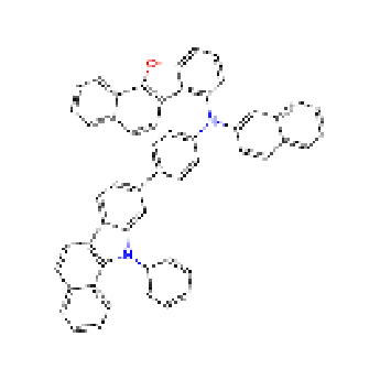 c1ccc(-n2c3cc(-c4ccc(N(c5ccc6ccccc6c5)c5cccc6oc7c8ccccc8ccc7c56)cc4)ccc3c3ccc4ccccc4c32)cc1